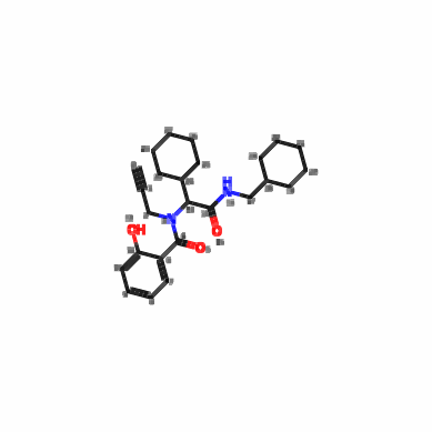 C#CCN(C(=O)c1ccccc1O)C(C(=O)NCC1CCCCC1)C1CCCCC1